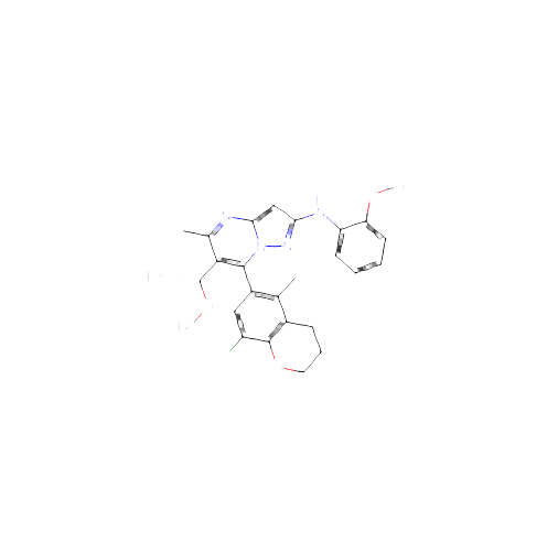 CCOc1ccccc1Nc1cc2nc(C)c([C@H](OC(C)(C)C)C(=O)O)c(-c3cc(F)c4c(c3C)CCCO4)n2n1